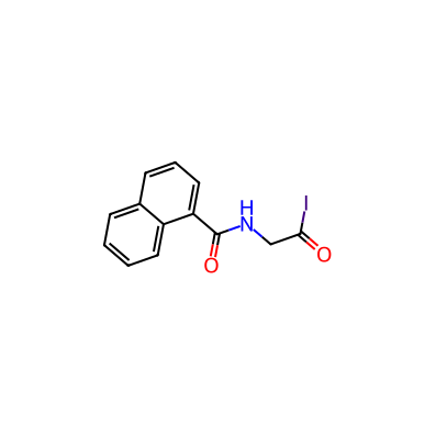 O=C(I)CNC(=O)c1cccc2ccccc12